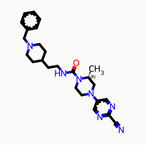 C[C@@H]1CN(c2cnc(C#N)nc2)CCN1C(=O)NCCC1CCN(Cc2ccccc2)CC1